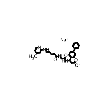 Cc1ccnc(NCCCCC(=O)NCC(=O)NC(CC(=O)[O-])c2ccc(-c3ccccc3)cc2)c1.[Na+]